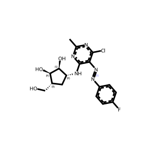 Cc1nc(Cl)c(/N=N/c2ccc(F)cc2)c(N[C@@H]2C[C@H](CO)[C@@H](O)[C@H]2O)n1